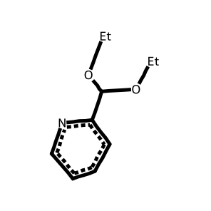 CCOC(OCC)c1ccccn1